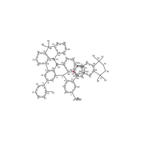 CCCCc1ccc(C2c3cc(-c4ccccc4C)cc4c3B(c3ccc5c(oc6cc7c(cc65)C(C)(C)CCC7(C)C)c32)N2c3ccccc3C(C)(C)c3cccc-4c32)c(-c2ccccc2)c1